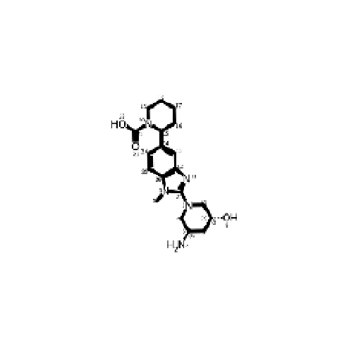 Cn1c(N2C[C@H](N)C[C@@H](O)C2)nc2cc(C3CCCCN3C(=O)O)ccc21